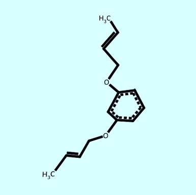 CC=CCOc1[c]ccc(OCC=CC)c1